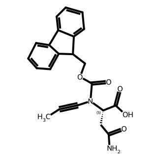 CC#CN(C(=O)OCC1c2ccccc2-c2ccccc21)[C@@H](CC(N)=O)C(=O)O